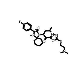 CC(C)CC(C(=O)c1nnc(SCCN(C)C)o1)N(C=O)C1(NC(=O)c2ccc(F)cc2)CCCCC1